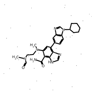 CN(C=O)CCN(C)c1cc(-c2ccc3c(c2)ncn3C2CCCCC2)c2nc[nH]c2c1C(N)=O